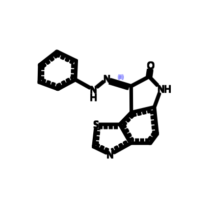 O=C1Nc2ccc3ncsc3c2/C1=N\Nc1ccccc1